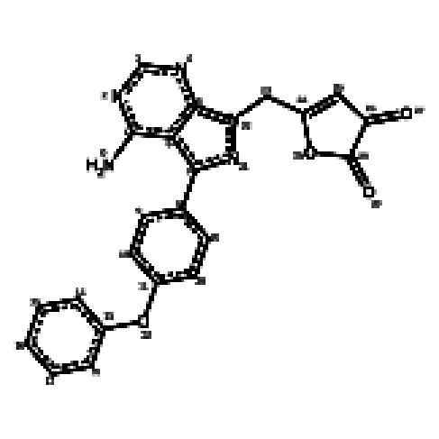 Nc1ncnc2c1c(-c1ccc(Oc3ccccc3)cc1)nn2CC1=CC(=O)C(=O)O1